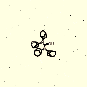 N=C(N(C1CC2CCC1C2)C1CC2CCC1C2)N(C1CC2CCC1C2)C1CC2CCC1C2